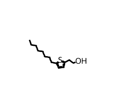 CCCCCCCCc1ccc(CCO)s1